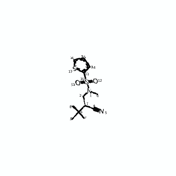 CN(C[C@@H](C#N)C(C)(C)C)S(=O)(=O)c1cccs1